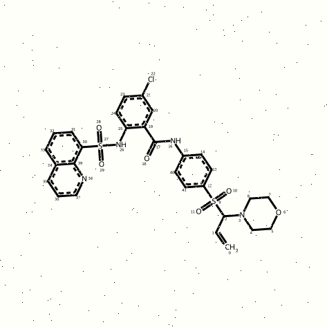 C=CC(N1CCOCC1)S(=O)(=O)c1ccc(NC(=O)c2cc(Cl)ccc2NS(=O)(=O)c2cccc3cccnc23)cc1